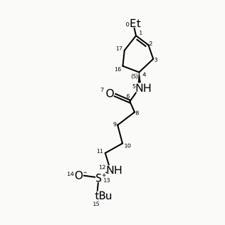 CCC1=CC[C@@H](NC(=O)CCCCN[S+]([O-])C(C)(C)C)CC1